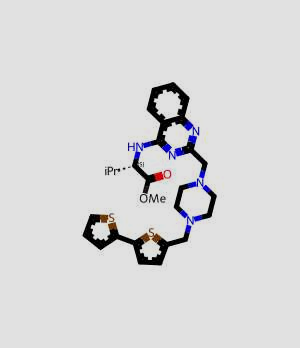 COC(=O)[C@@H](Nc1nc(CN2CCN(Cc3ccc(-c4cccs4)s3)CC2)nc2ccccc12)C(C)C